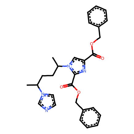 CC(CCC(C)n1cc(C(=O)OCc2ccccc2)nc1C(=O)OCc1ccccc1)n1ccnc1